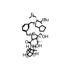 CC([C@@H](CN(C)C)N(Cc1cccc(CN2O[C@@H](CO)[C@@H]([C@H](C)O)[C@H]2C(=O)N[C@H]2C[C@H]3C[C@@H]([C@@H]2C)C3(C)C)c1)CC1CCCC1)C(C)(C)C